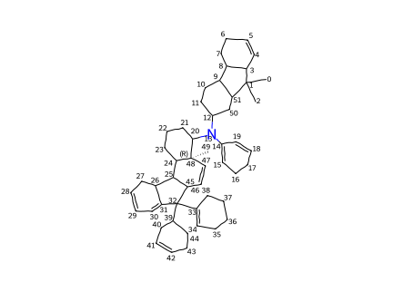 CC1(C)C2C=CCCC2C2CCC(N(C3=CCCC=C3)C3CCCC4C5C6CC=CC=C6C(C6=CCCCC6)(C6CC=CCC6)C5C=C[C@@]43C)CC21